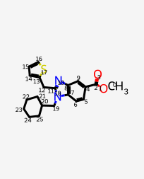 COC(=O)c1ccc2c(c1)nc(Cc1cccs1)n2CC1CCCCC1